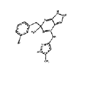 Cc1cc(NC2=NC(N)(Cc3cccc(Br)c3)N=C3NNC=C32)n[nH]1